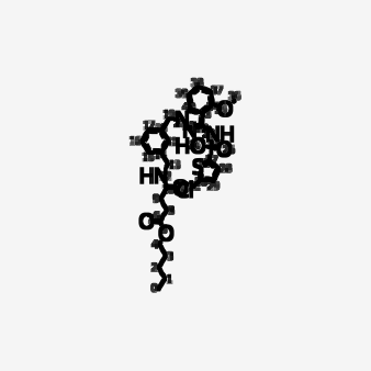 CCCCCOC(=O)CCC(=O)NCc1cccc(Cn2nc(NI(=O)(O)c3ccc(Cl)s3)c3c(OC)cccc32)c1